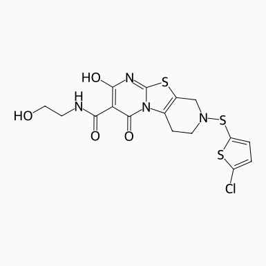 O=C(NCCO)c1c(O)nc2sc3c(n2c1=O)CCN(Sc1ccc(Cl)s1)C3